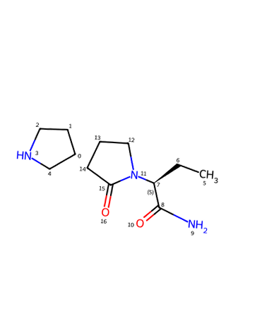 C1CCNC1.CC[C@@H](C(N)=O)N1CCCC1=O